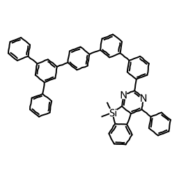 C[Si]1(C)c2ccccc2-c2c(-c3ccccc3)nc(-c3cccc(-c4cccc(-c5ccc(-c6cc(-c7ccccc7)cc(-c7ccccc7)c6)cc5)c4)c3)nc21